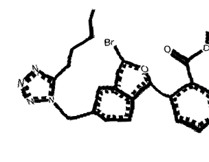 CCCCc1nnnn1Cc1ccc2c(-c3ccccc3C(=O)OC)oc(Br)c2c1